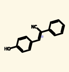 N#C/C(=C\c1ccc(O)cc1)c1ccccc1